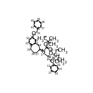 CC[Si](CC)(CC)O[C@H](COc1ccccc1)CN(C(=O)OC(C)(C)C)C1CCCc2ccc(OCc3ccccc3)cc2C1